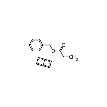 CCC(=O)OCc1ccccc1.c1cc2ccc1-2